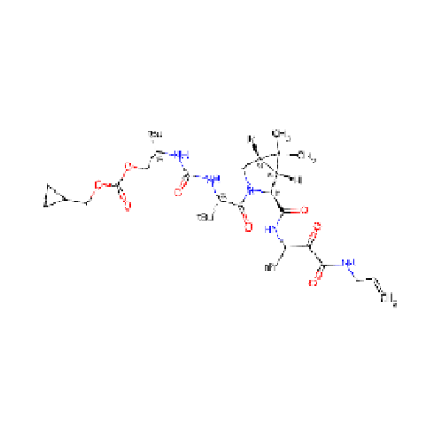 C=CCNC(=O)C(=O)C(CCC)NC(=O)[C@@H]1[C@@H]2[C@H](CN1C(=O)[C@@H](NC(=O)N[C@H](COC(=O)OCC1CC1)C(C)(C)C)C(C)(C)C)C2(C)C